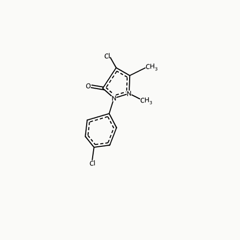 Cc1c(Cl)c(=O)n(-c2ccc(Cl)cc2)n1C